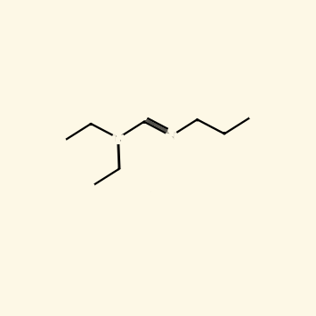 CCCN=CN(CC)CC.Cl